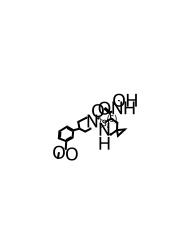 COC(=O)c1cccc(C2CCN(C(=O)[C@H]3NCC4(CC4)C[C@@H]3C(=O)NO)CC2)c1